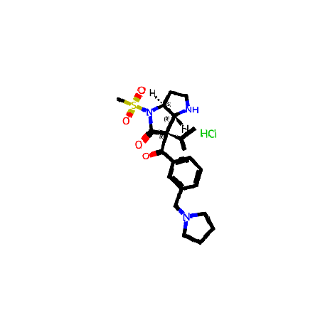 CC(C)[C@@]1(C(=O)c2cccc(CN3CCCC3)c2)C(=O)N(S(C)(=O)=O)[C@H]2CCN[C@@H]21.Cl